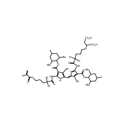 C=C(C)C(=O)OCCCC(CC)(CC)C(=O)Nc1[nH]c(/C=C2\N=C(NC(=O)C(CC)(CC)CCCSC(CC(=O)O)C(=O)O)C(C(=O)OC3C(C(C)(C)C)CC(C)CC3C(C)(C)C)=C2C(C)C)c(C(C)C)c1C(=O)OC1C(C(C)(C)C)CC(C)CC1C(C)(C)C